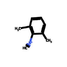 C#[N+]c1c(C)cccc1C